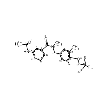 CC(=O)Nc1cc(C(=O)N(C)Cc2cnc(OCC(F)(F)F)c(C)c2)ccn1